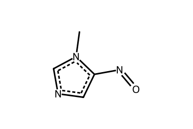 Cn1cncc1N=O